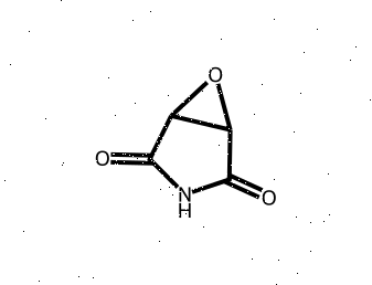 O=C1NC(=O)C2OC12